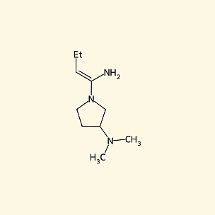 CC/C=C(\N)N1CCC(N(C)C)C1